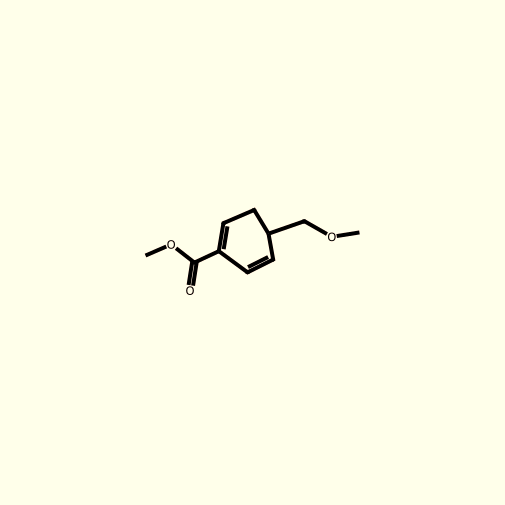 COCC1C=CC(C(=O)OC)=CC1